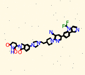 N#Cc1cc(-c2ccc3c4cnccc4n(C(F)F)c3c2)cnc1N1CCC(CCN2CCN(c3ccc4c(c3)CN(C3CCC(=O)NC3=O)C4=O)CC2)CC1